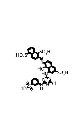 CCCS(=O)(=O)c1cccc(Nc2nc(Cl)nc(Nc3cc(S(=O)(=O)O)cc4ccc(/N=N/c5ccc6c(S(=O)(=O)O)cccc6c5S(=O)(=O)O)c(O)c34)n2)c1